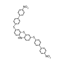 O=[N+]([O-])c1ccc(-c2ccc(Sc3ccc4c(c3)Sc3cc(Sc5ccc(-c6ccc([N+](=O)[O-])cc6)cc5)ccc3N4)cc2)cc1